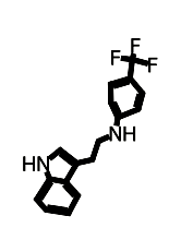 FC(F)(F)c1ccc(NCCc2c[nH]c3ccccc23)cc1